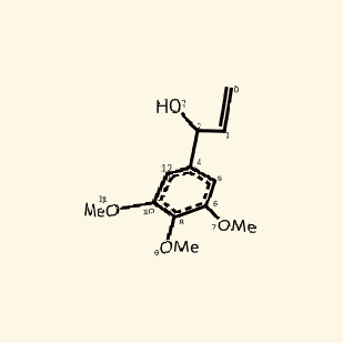 C=CC(O)c1cc(OC)c(OC)c(OC)c1